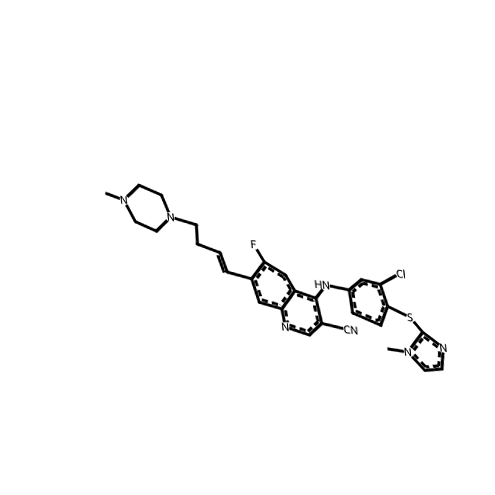 CN1CCN(CCC=Cc2cc3ncc(C#N)c(Nc4ccc(Sc5nccn5C)c(Cl)c4)c3cc2F)CC1